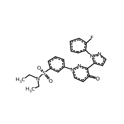 CCN(CC)S(=O)(=O)c1cccc(-n2ccc(=O)c(-c3ccnn3-c3ccccc3F)n2)c1